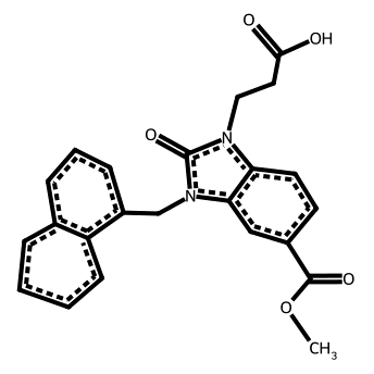 COC(=O)c1ccc2c(c1)n(Cc1cccc3ccccc13)c(=O)n2CCC(=O)O